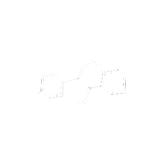 N=C(/C(=C\N)c1ccccc1)c1ccccc1